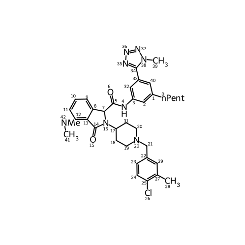 CCCCCc1cc(NC(=O)C2c3ccccc3C(=O)N2C2CCN(Cc3ccc(Cl)c(C)c3)CC2)cc(-c2nnnn2C)c1.CNC